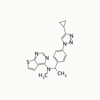 CC(c1ccc(-n2cc(C3CC3)nn2)cc1)N(C)c1ncnc2sccc12